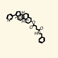 C[C@]12CC[C@H](OC(=O)CCC(=O)NCc3ccccc3)CC1=CC[C@@H]1[C@@H]2CC[C@]2(C)C(c3cccnc3)=CCC12O